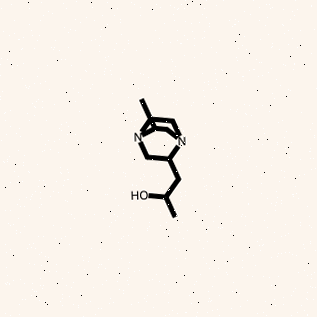 CC(O)CC1CN2CCN1CC2C